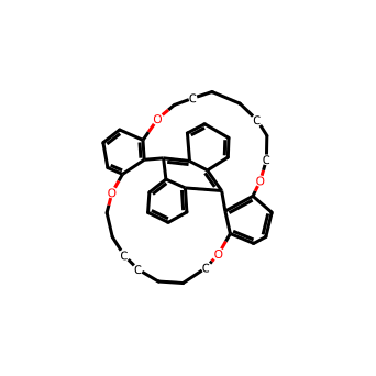 c1cc2c3c(c1)OCCCCCCCOc1cccc(c1-c1c4ccccc4c-3c3ccccc13)OCCCCCCCO2